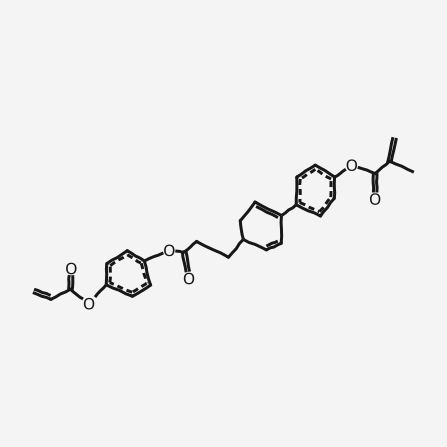 C=CC(=O)Oc1ccc(OC(=O)CCC2C=CC(c3ccc(OC(=O)C(=C)C)cc3)=CC2)cc1